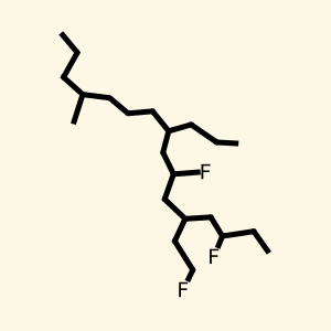 CCCC(C)CCCC(CCC)CC(F)CC(CCF)CC(F)CC